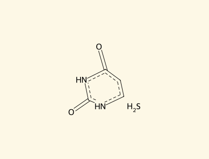 O=c1cc[nH]c(=O)[nH]1.S